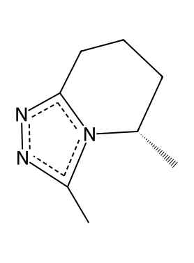 Cc1nnc2n1[C@@H](C)CCC2